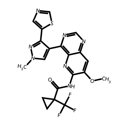 COc1cc2ncnc(-c3cn(C)nc3-c3cncs3)c2nc1NC(=O)C1(C(F)(F)F)CC1